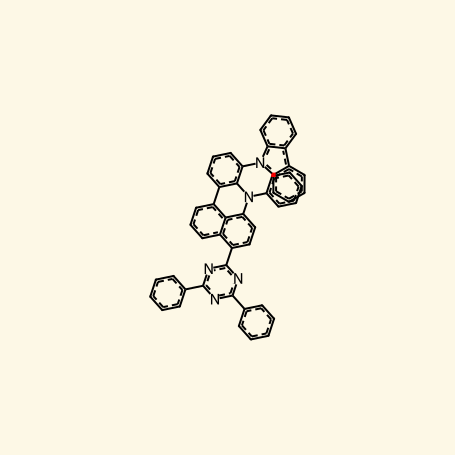 c1ccc(-c2nc(-c3ccccc3)nc(-c3ccc4c5c(cccc35)-c3cccc(-n5c6ccccc6c6ccccc65)c3N4c3ccccc3)n2)cc1